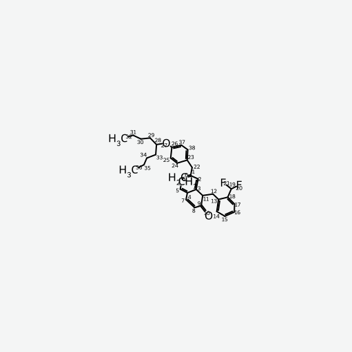 C=C(/C=C1\C(=C/C)C=CC(=O)C1Cc1ccccc1C(F)F)Cc1ccc(OC(CCCC)CCCC)cc1